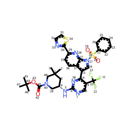 CC1(C)C[C@H](Nc2ncc(C(F)(F)F)c(-c3cn(S(=O)(=O)c4ccccc4)c4nc(-c5nccs5)ccc34)n2)CN(C(=O)OC(C)(C)C)C1